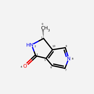 C[C@H]1NC(=O)c2ccncc21